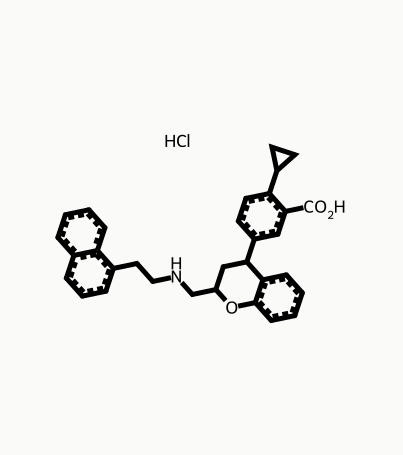 Cl.O=C(O)c1cc(C2CC(CNCCc3cccc4ccccc34)Oc3ccccc32)ccc1C1CC1